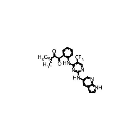 CN(C)C(=O)C(=O)c1ccccc1Nc1nc(Nc2cnc3[nH]ccc3c2)ncc1C(F)(F)F